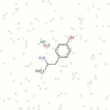 CCOC(=O)C(N)Cc1ccc(O)cc1.Cl.O